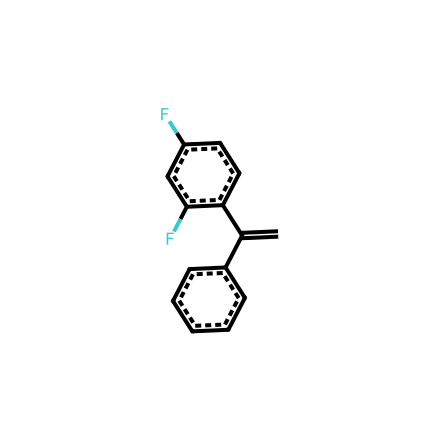 C=C(c1ccccc1)c1ccc(F)cc1F